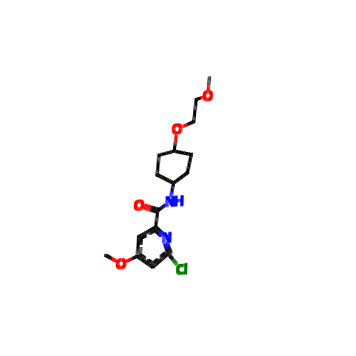 COCCOC1CCC(NC(=O)c2cc(OC)cc(Cl)n2)CC1